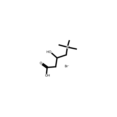 C[N+](C)(C)CC(O)CC(=O)O.[Br-]